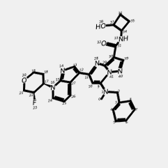 CN(Cc1ccccc1)c1cc(-c2cnc3n([C@@H]4CCOC[C@@H]4F)cccc2-3)nc2c(C(=O)NC3CCC3O)cnn12